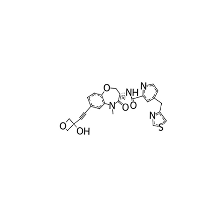 CN1C(=O)[C@@H](NC(=O)c2cc(Cc3cscn3)ccn2)COc2ccc(C#CC3(O)COC3)cc21